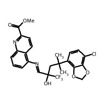 COC(=O)c1ccc2c(N=CC(O)(CC(C)(C)c3ccc(Cl)c4c3OCO4)C(F)(F)F)cccc2n1